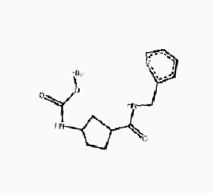 CC(C)(C)OC(=O)NC1CCC(C(=O)NCc2ccccn2)C1